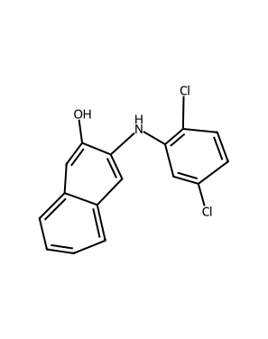 Oc1cc2ccccc2cc1Nc1cc(Cl)ccc1Cl